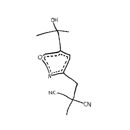 CC(C#N)(C#N)Cc1cc(C(C)(C)O)on1